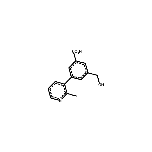 Cc1ncccc1-c1cc(CO)cc(C(=O)O)c1